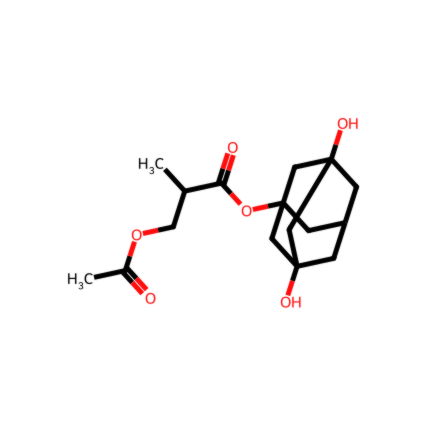 CC(=O)OCC(C)C(=O)OC12CC3CC(O)(CC(O)(C3)C1)C2